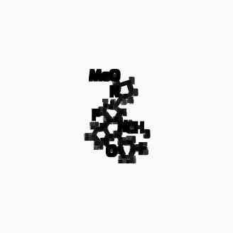 COc1cccc(-c2cc(F)c3c4cccc5c4c([n+](C)c3c2)-c2cc(F)ccc2O5)n1